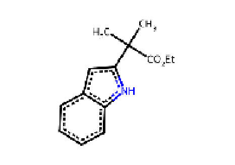 CCOC(=O)C(C)(C)c1cc2ccccc2[nH]1